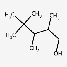 CC(CO)C(C)C(C)(C)C